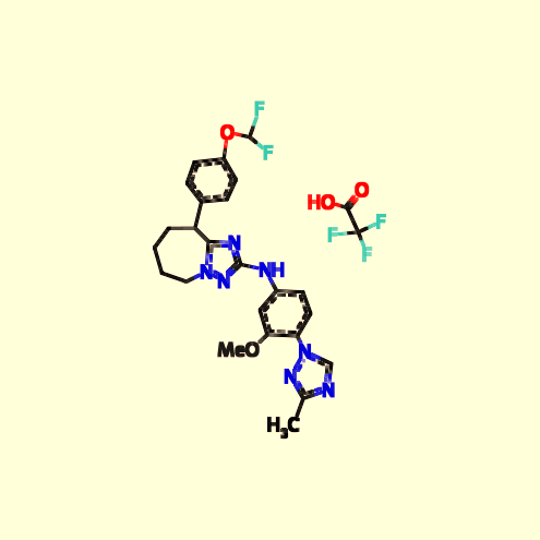 COc1cc(Nc2nc3n(n2)CCCCC3c2ccc(OC(F)F)cc2)ccc1-n1cnc(C)n1.O=C(O)C(F)(F)F